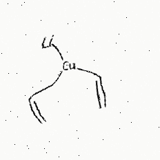 [Li][Cu]([CH]=C)[CH]=C